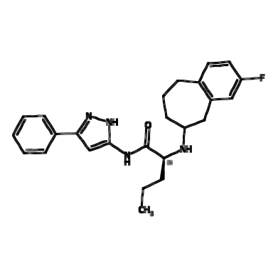 CCC[C@H](NC1CCCc2ccc(F)cc2C1)C(=O)Nc1cc(-c2ccccc2)n[nH]1